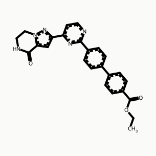 CCOC(=O)c1ccc(-c2ccc(-c3nccc(-c4cc5n(n4)CCNC5=O)n3)cc2)cc1